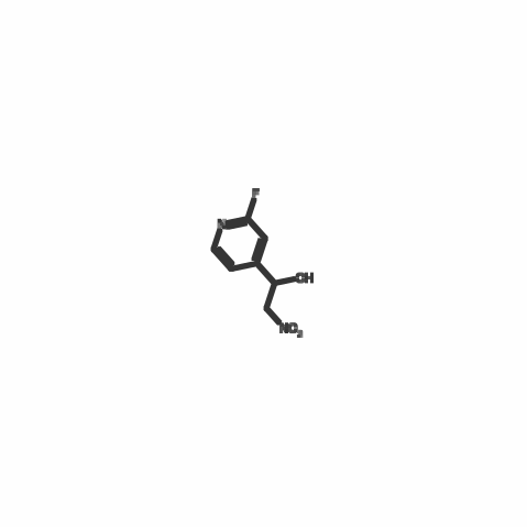 O=[N+]([O-])CC(O)c1ccnc(F)c1